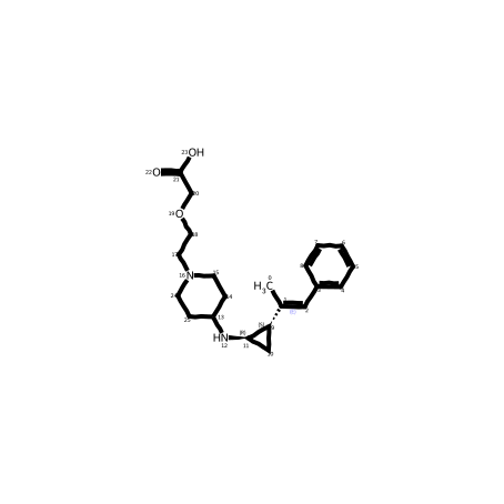 C/C(=C\c1ccccc1)[C@@H]1C[C@H]1NC1CCN(CCOCC(=O)O)CC1